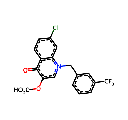 O=C(O)Oc1cn(Cc2cccc(C(F)(F)F)c2)c2cc(Cl)ccc2c1=O